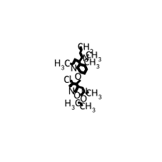 C=C/C=C(/c1cc(C)nc2c(OCc3c(Cl)cncc3CN(C)C(=O)OC(C)C)cccc12)N(C)C